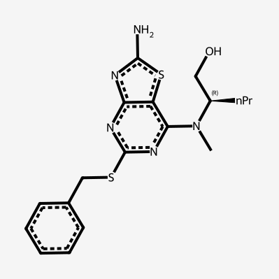 CCC[C@H](CO)N(C)c1nc(SCc2ccccc2)nc2nc(N)sc12